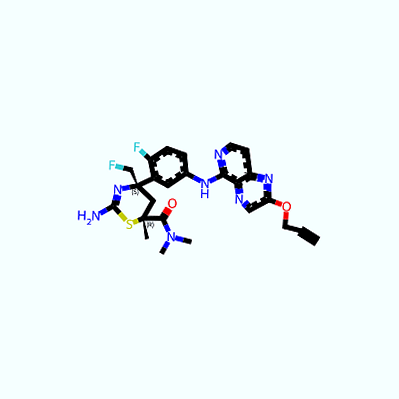 C#CCOc1cnc2c(Nc3ccc(F)c([C@]4(CF)C[C@](C)(C(=O)N(C)C)SC(N)=N4)c3)nccc2n1